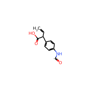 C=CC(C(=O)O)c1ccc(N[C]=O)cc1